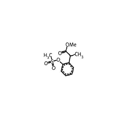 COC(=O)C(C)c1ccccc1OS(C)(=O)=O